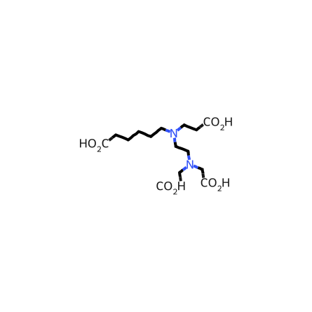 O=C(O)CCCCCN(CCC(=O)O)CCN(CC(=O)O)CC(=O)O